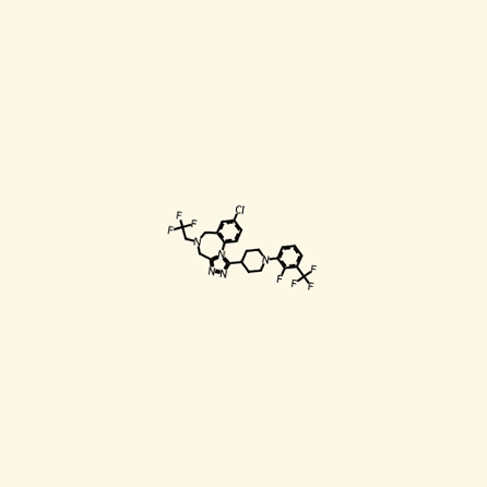 Fc1c(N2CCC(c3nnc4n3-c3ccc(Cl)cc3CN(CC(F)(F)F)C4)CC2)cccc1C(F)(F)F